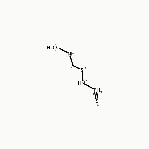 O=C(O)NCSN[PH2]=S